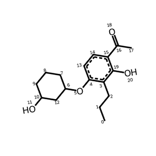 CCCc1c(OC2CCCC(O)C2)ccc(C(C)=O)c1O